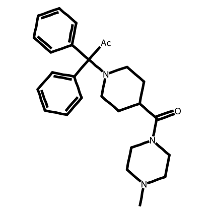 CC(=O)C(c1ccccc1)(c1ccccc1)N1CCC(C(=O)N2CCN(C)CC2)CC1